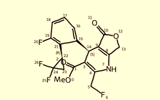 COC(=O)C1=C(CF)NC2=C(C(=O)OC2)[C@@H]1c1cccc(F)c1[C@H]1CC1(F)F